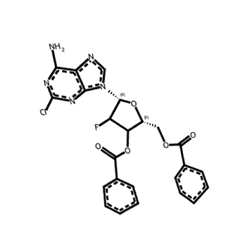 Nc1nc(Cl)nc2c1ncn2[C@@H]1O[C@H](COC(=O)c2ccccc2)C(OC(=O)c2ccccc2)C1F